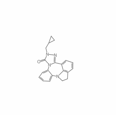 O=c1n(CC2CC2)nc2n1-c1ccccc1N1CCc3cccc-2c31